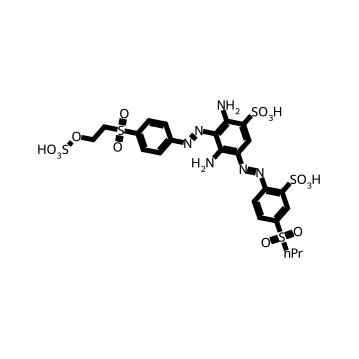 CCCS(=O)(=O)c1ccc(/N=N/c2cc(S(=O)(=O)O)c(N)c(/N=N/c3ccc(S(=O)(=O)CCOS(=O)(=O)O)cc3)c2N)c(S(=O)(=O)O)c1